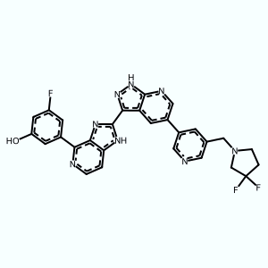 Oc1cc(F)cc(-c2nccc3[nH]c(-c4n[nH]c5ncc(-c6cncc(CN7CCC(F)(F)C7)c6)cc45)nc23)c1